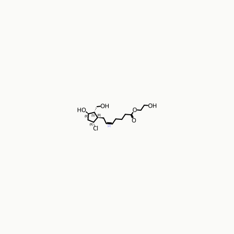 O=C(CCC/C=C\C[C@@H]1[C@@H](CO)[C@H](O)C[C@H]1Cl)OCCO